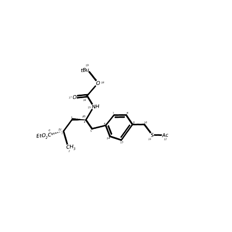 CCOC(=O)[C@@H](C)C[C@H](Cc1ccc(CSC(C)=O)cc1)NC(=O)OC(C)(C)C